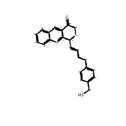 CCc1ccc(CCC=CC2OCC(=O)c3cc4ccccc4nc32)cc1